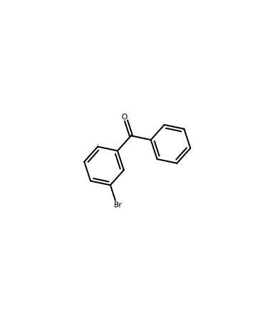 O=C(c1[c]ccc(Br)c1)c1ccccc1